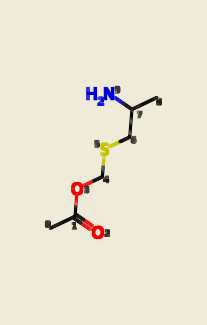 CC(=O)OCSCC(C)N